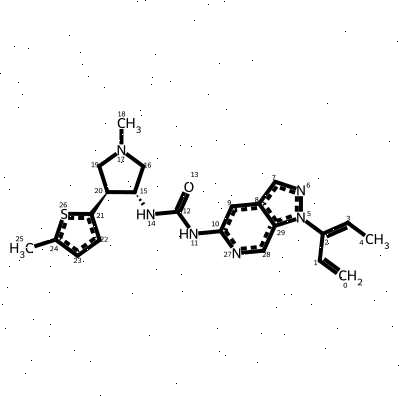 C=C/C(=C\C)n1ncc2cc(NC(=O)N[C@H]3CN(C)C[C@@H]3c3ccc(C)s3)ncc21